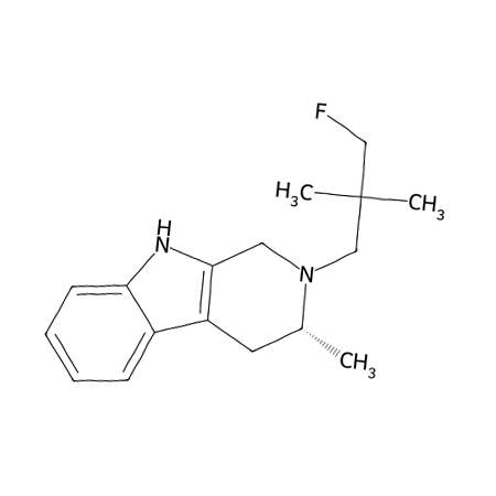 C[C@@H]1Cc2c([nH]c3ccccc23)CN1CC(C)(C)CF